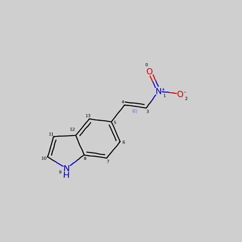 O=[N+]([O-])/C=C/c1ccc2[nH]ccc2c1